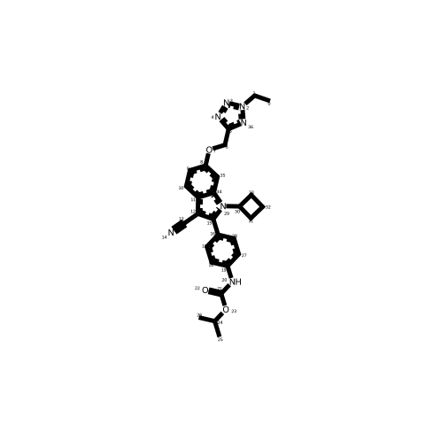 CCn1nnc(COc2ccc3c(C#N)c(-c4ccc(NC(=O)OC(C)C)cc4)n(C4CCC4)c3c2)n1